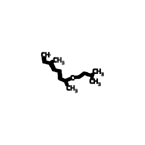 [CH]=C/C(C)=C/C=C/C(C)CCCC(C)C